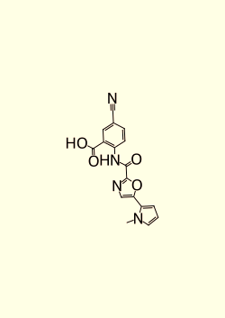 Cn1cccc1-c1cnc(C(=O)Nc2ccc(C#N)cc2C(=O)O)o1